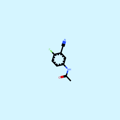 CC(=O)Nc1ccc(F)c(C#N)c1